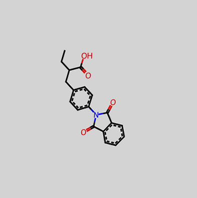 CCC(Cc1ccc(N2C(=O)c3ccccc3C2=O)cc1)C(=O)O